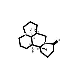 O=C1CCC[C@@H]2[C@H]3CCCN4CCC[C@H](CN12)[C@@H]34